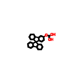 OB(O)Oc1ccc2c(c1)-c1ccccc1C21c2ccccc2-c2ccccc21